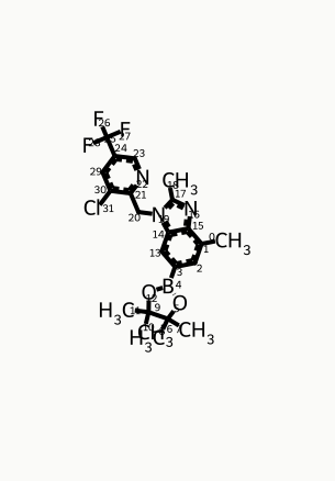 Cc1cc(B2OC(C)(C)C(C)(C)O2)cc2c1nc(C)n2Cc1ncc(C(F)(F)F)cc1Cl